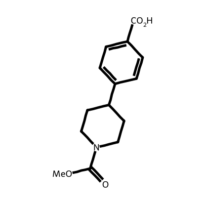 COC(=O)N1CCC(c2ccc(C(=O)O)cc2)CC1